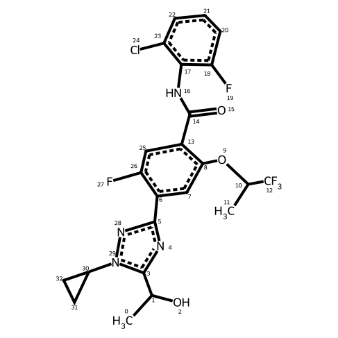 CC(O)c1nc(-c2cc(OC(C)C(F)(F)F)c(C(=O)Nc3c(F)cccc3Cl)cc2F)nn1C1CC1